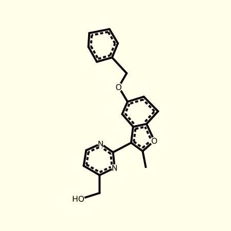 Cc1oc2ccc(OCc3ccccc3)cc2c1-c1nccc(CO)n1